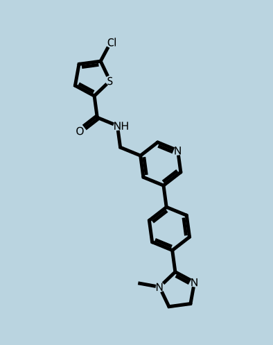 CN1CCN=C1c1ccc(-c2cncc(CNC(=O)c3ccc(Cl)s3)c2)cc1